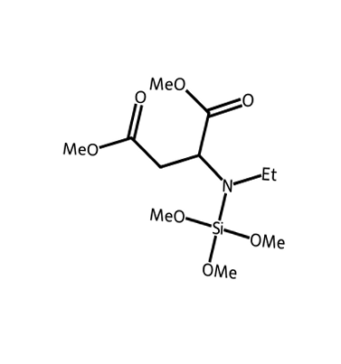 CCN(C(CC(=O)OC)C(=O)OC)[Si](OC)(OC)OC